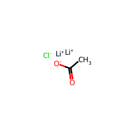 CC(=O)[O-].[Cl-].[Li+].[Li+]